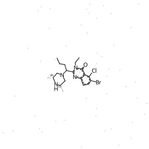 CCCC(c1nc2ccc(Br)c(Cl)c2c(=O)n1CC)N1C[C@@H](C)N[C@@H](C)C1